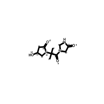 CC(C)(C(=O)N1CNC(=O)C1)N1CC(O)CC1=O